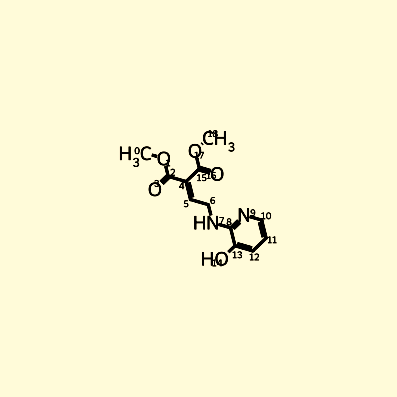 COC(=O)C(=CCNc1ncccc1O)C(=O)OC